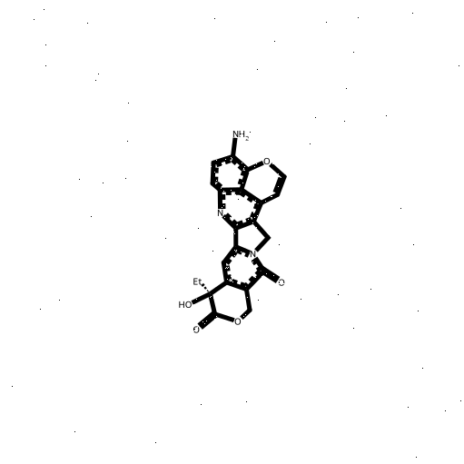 CC[C@@]1(O)C(=O)OCc2c1cc1n(c2=O)Cc2c-1nc1ccc(N)c3c1c2C=CO3